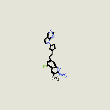 Cc1cc2c(F)cc(CCC3=CC(n4ccc5cncnc54)CC3)cc2nc1N